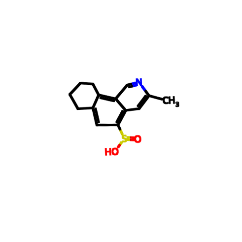 Cc1cc2c(S(=O)O)cc3c(c2cn1)CCCC3